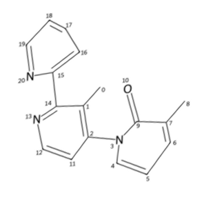 Cc1c(-n2cccc(C)c2=O)ccnc1-c1ccccn1